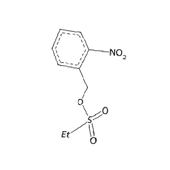 CCS(=O)(=O)OCc1ccccc1[N+](=O)[O-]